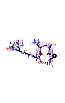 C/C(=N/O)C(C)(C)NCCC(CCNC(=O)CCCC(=O)NCCCC[C@@H]1NC(=O)CSC[C@@H](C)NC(=O)[C@H](Cc2ccccc2)NC(=O)[C@@H]2CSSC[C@H](NC1=O)C(=O)N[C@@H](CCCNC(=N)N)C(=O)NCC(=O)N[C@@H](CC(=O)O)C(=O)N2)CCNC(C)(C)/C(C)=N\O